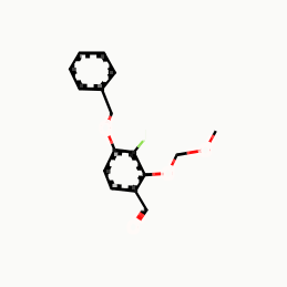 COCOc1c(C=O)ccc(OCc2ccccc2)c1F